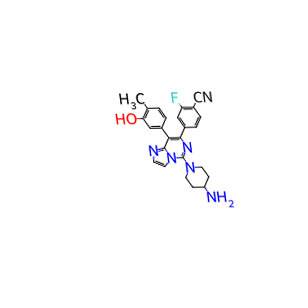 Cc1ccc(-c2c(-c3ccc(C#N)c(F)c3)nc(N3CCC(N)CC3)n3ccnc23)cc1O